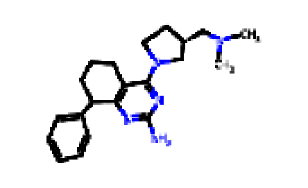 CN(C)C[C@@H]1CCN(c2nc(N)nc3c2CCCC3c2ccccc2)C1